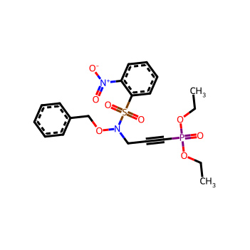 CCOP(=O)(C#CCN(OCc1ccccc1)S(=O)(=O)c1ccccc1[N+](=O)[O-])OCC